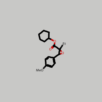 CCC1(C(=O)OC2CCCCC2)OC1c1ccc(OC)cc1